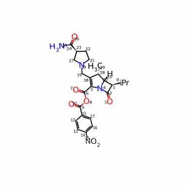 CC(C)[C@H]1C(=O)N2C(C(=O)OC(=O)c3ccc([N+](=O)[O-])cc3)=C(CN3CC[C@H](C(N)=O)C3)[C@H](C)[C@H]12